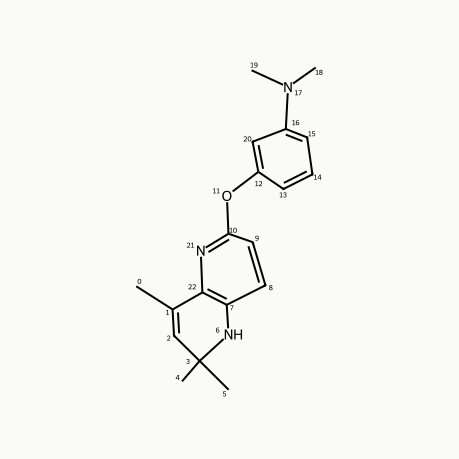 CC1=CC(C)(C)Nc2ccc(Oc3cccc(N(C)C)c3)nc21